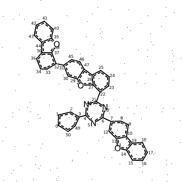 c1ccc(-c2nc(-c3ccc4c(c3)oc3ccccc34)nc(-c3cccc4c3oc3cc(-c5cccc6c5oc5ccccc56)ccc34)n2)cc1